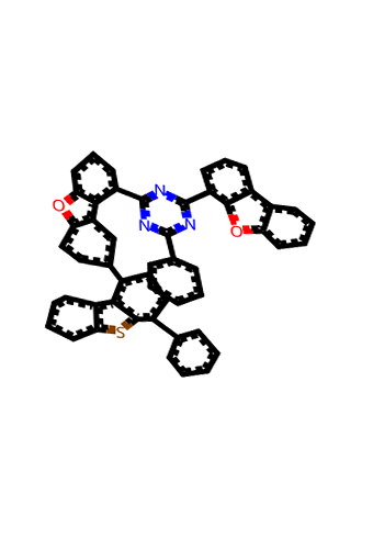 c1ccc(-c2nc(-c3cccc4c3oc3ccccc34)nc(-c3cccc4oc5ccc(-c6ccc(-c7ccccc7)c7sc8ccccc8c67)cc5c34)n2)cc1